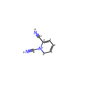 N#CC1=CC=CCN1C#N